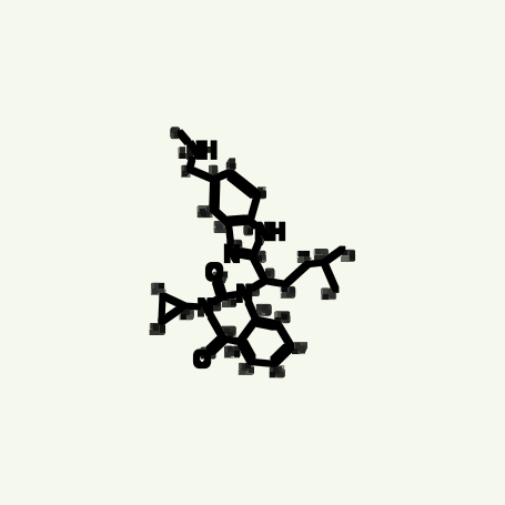 CNCc1ccc2[nH]c(C(CCC(C)C)n3c(=O)n(C4CC4)c(=O)c4ccccc43)nc2c1